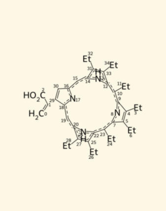 C=CC(=O)O.CCC1=C(CC)c2nc1c(CC)c1[nH]c(cc3nc(cc4[nH]c(c2CC)c(CC)c4CC)C=C3)c(CC)c1CC